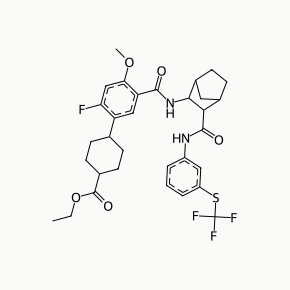 CCOC(=O)C1CCC(c2cc(C(=O)NC3C4CCC(C4)C3C(=O)Nc3cccc(SC(F)(F)F)c3)c(OC)cc2F)CC1